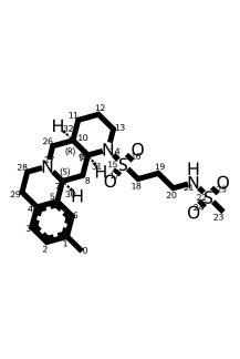 Cc1ccc2c(c1)[C@@H]1C[C@H]3[C@H](CCCN3S(=O)(=O)CCCNS(C)(=O)=O)CN1CC2